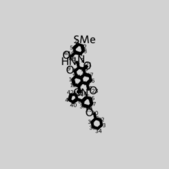 CSc1ccc2nc(C3C(=O)c4ccc5c6c(ccc(c46)C3=O)C(=O)N(c3ccc(OCC4CCCCC4)cc3C3=CC=CC3)C5=O)[nH]c(=O)c2c1